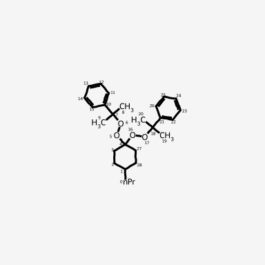 CCCC1CCC(OOC(C)(C)c2ccccc2)(OOC(C)(C)c2ccccc2)CC1